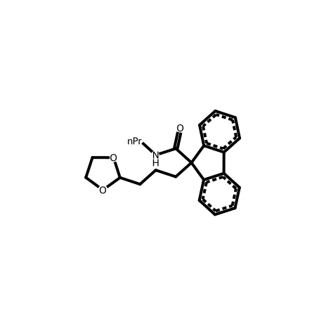 CCCNC(=O)C1(CCCC2OCCO2)c2ccccc2-c2ccccc21